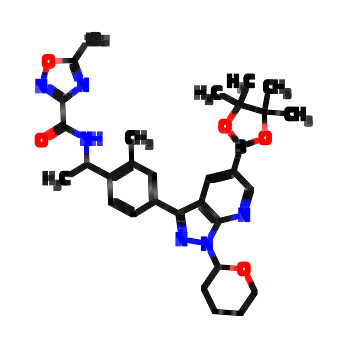 Cc1cc(-c2nn(C3CCCCO3)c3ncc(B4OC(C)(C)C(C)(C)O4)cc23)ccc1C(C)NC(=O)c1noc(C(C)(C)C)n1